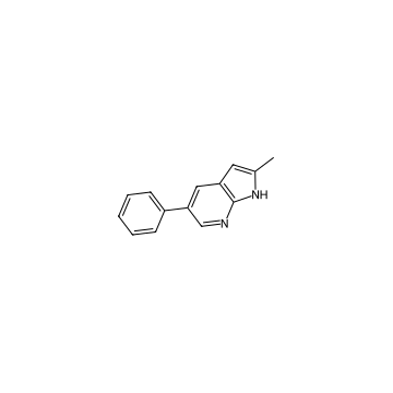 Cc1cc2cc(-c3ccccc3)cnc2[nH]1